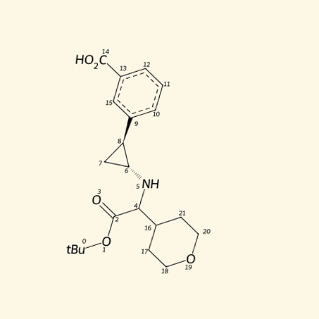 CC(C)(C)OC(=O)C(N[C@@H]1C[C@H]1c1cccc(C(=O)O)c1)C1CCOCC1